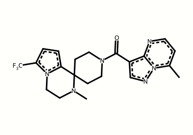 Cc1ccnc2c(C(=O)N3CCC4(CC3)c3ccc(C(F)(F)F)n3CCN4C)cnn12